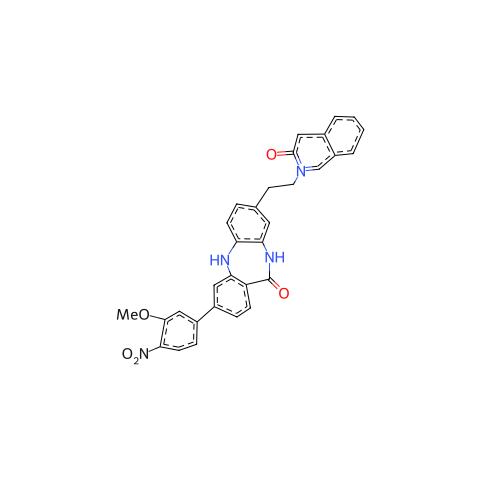 COc1cc(-c2ccc3c(c2)Nc2ccc(CCn4cc5ccccc5cc4=O)cc2NC3=O)ccc1[N+](=O)[O-]